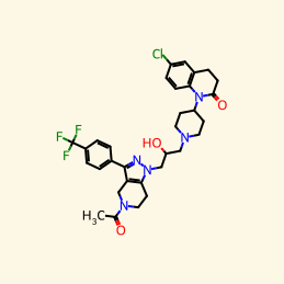 CC(=O)N1CCc2c(c(-c3ccc(C(F)(F)F)cc3)nn2CC(O)CN2CCC(N3C(=O)CCc4cc(Cl)ccc43)CC2)C1